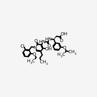 CCCc1cn(Cc2c(Cl)cccc2OCC)c(=O)c(NC(=O)N[C@@H](CC(=O)O)c2cccc(OC(C)C)c2)c1O